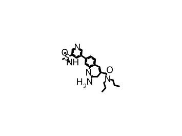 CCCN(CCC)C(=O)C1=Cc2ccc(-c3cncc(S(C)(=N)=O)c3)cc2N=C(N)C1